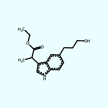 CCOC(=O)C(C)c1c[nH]c2ccc(CCCO)cc12